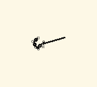 CCC=CCC=CCC=CCC=CCC=CCCCC(=O)NCC1CCN(C(=O)C(C)(C)Oc2ccc(C(=O)c3ccc(Cl)cc3)cc2)CC1